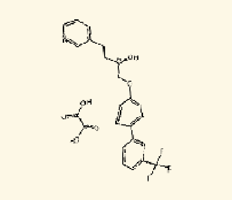 O=C(O)C(=O)O.O[C@H](CCc1cccnc1)COc1ccc(-c2cccc(C(F)(F)F)c2)cc1